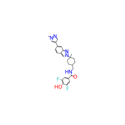 Cn1cc(-c2ccc3cn(C4(C)CCC(CNC(=O)c5cc(F)c(O)c(F)c5)CC4)nc3c2)cn1